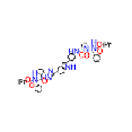 CC(C)OC(=O)N[C@@H](C(=O)C1CCC[C@H]1c1nc(-c2ccc3[nH]c(-c4ccc(NC(=O)[C@@H]5CCCN5C(=O)[C@H](NC(=O)OC(C)C)c5ccccc5)cc4)cc3c2)c[nH]1)c1ccccc1